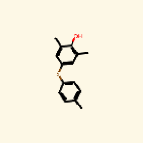 Cc1ccc(Sc2cc(C)c(O)c(C)c2)cc1